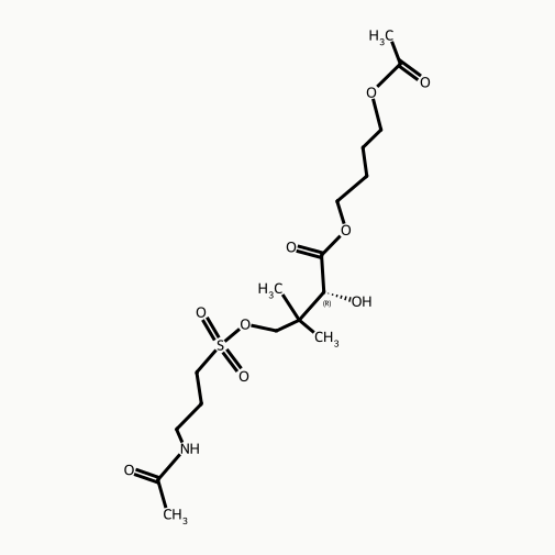 CC(=O)NCCCS(=O)(=O)OCC(C)(C)[C@@H](O)C(=O)OCCCCOC(C)=O